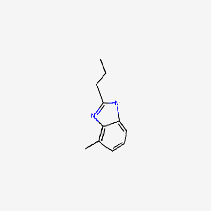 CCCC1=Nc2c(C)cccc2[N]1